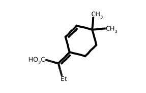 CC/C(C(=O)O)=C1/C=CC(C)(C)CC1